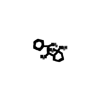 NC(C1=CC=CCC1(S(=O)(=O)O)S(=O)(=O)O)=C(N)c1ccccc1